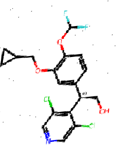 OC[C@H](c1ccc(OC(F)F)c(OCC2CC2)c1)c1c(Cl)cncc1Cl